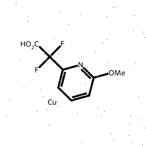 COc1cccc(C(F)(F)C(=O)O)n1.[Cu]